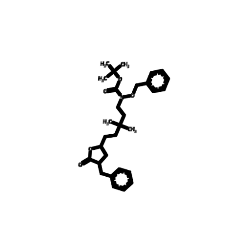 CC(C)(CCC1CC(Cc2ccccc2)C(=O)O1)CCN(OCc1ccccc1)C(=O)OC(C)(C)C